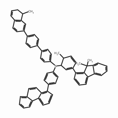 CC1CC=Cc2ccc(-c3ccc(-c4ccc(N(c5ccc(-c6cccc7c6ccc6ccccc67)cc5)C5C=C(c6cccc7c6C(C)(C)c6ccccc6-7)C=CC5C)cc4)cc3)cc21